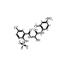 CC(C)C(NC(=O)c1cc(Cl)ccc1NS(C)(=O)=O)C(=O)Nc1ccc([N+](=O)[O-])cc1Cl